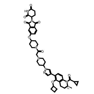 C[C@H]1CCc2c(ccc(-c3cnn(C4CCN(CC(=O)N5CCC(Oc6ccc7c(c6)C(=O)N(C6CCC(=O)NC6=O)C7=O)CC5)CC4)c3)c2OC2CCC2)N1C(=O)C1CC1